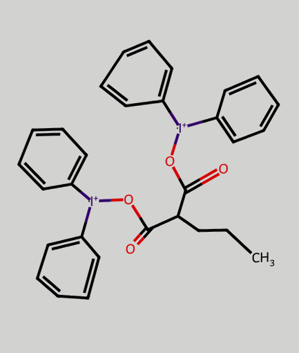 CCCC(C(=O)O[I+](c1ccccc1)c1ccccc1)C(=O)O[I+](c1ccccc1)c1ccccc1